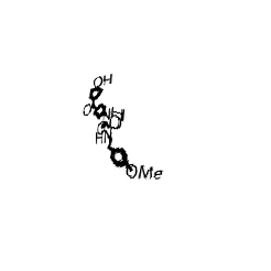 COc1ccc(CCNC(=O)C(=O)Nc2ccc(C(=O)c3ccc(O)cc3)cc2)cc1